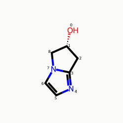 O[C@@H]1Cc2nccn2C1